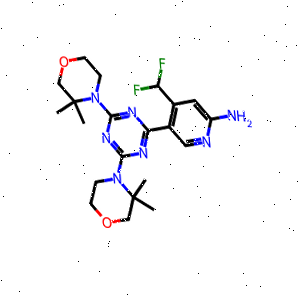 CC1(C)COCCN1c1nc(-c2cnc(N)cc2C(F)F)nc(N2CCOCC2(C)C)n1